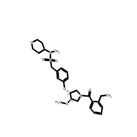 CCc1ccccc1C(=O)N1C[C@@H](OC)[C@H](Oc2cccc(CS(=O)(=O)N(C)C3CCOCC3)c2)C1